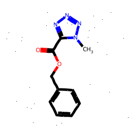 Cn1nnnc1C(=O)OCc1ccccc1